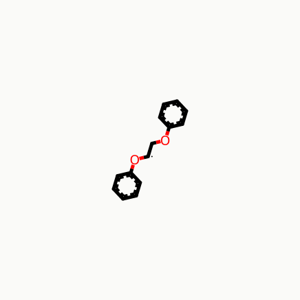 [CH](COc1ccccc1)Oc1ccccc1